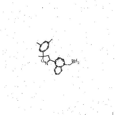 BCc1ccc(C2=NOC(C)(c3cc(C)cc(C)c3)C2)c2ccccc12